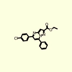 CCOC(=O)c1cc2nc(-c3ccc(Cl)cc3)cc(-c3ccccc3)n2n1